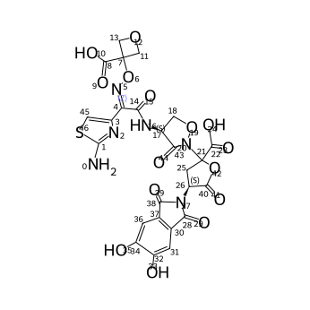 Nc1nc(/C(=N/OC2(C(=O)O)COC2)C(=O)N[C@H]2CON(C3(C(=O)O)C[C@H](N4C(=O)c5cc(O)c(O)cc5C4=O)C(=O)O3)C2=O)cs1